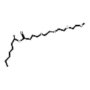 CCCCCCC(C)OC(=O)CCCOCCOCCOCCOC